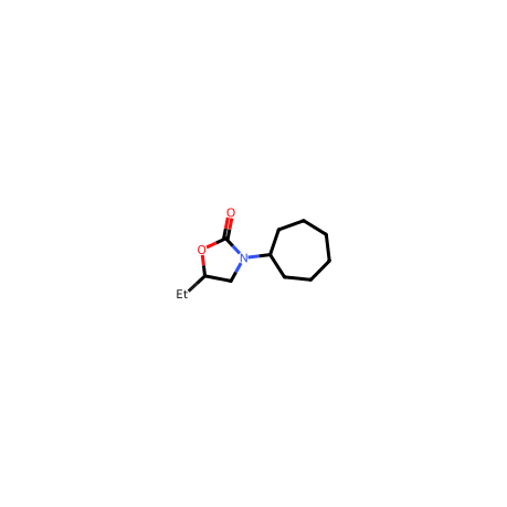 CCC1CN(C2CCCCCC2)C(=O)O1